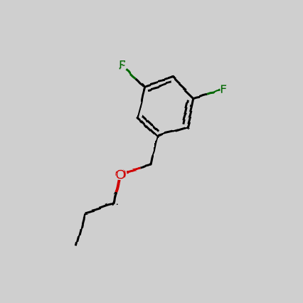 CC[CH]OCc1cc(F)cc(F)c1